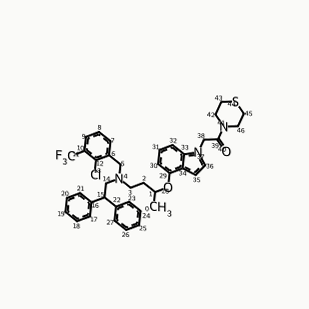 CC(CCN(Cc1cccc(C(F)(F)F)c1Cl)CC(c1ccccc1)c1ccccc1)Oc1cccc2c1ccn2CC(=O)N1CCSCC1